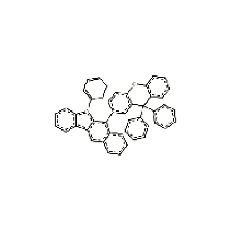 C1=CCCC(n2c3ccccc3c3cc4ccccc4c(-c4ccc5c(c4)C(c4ccccc4)(c4ccccc4)c4ccccc4O5)c32)=C1